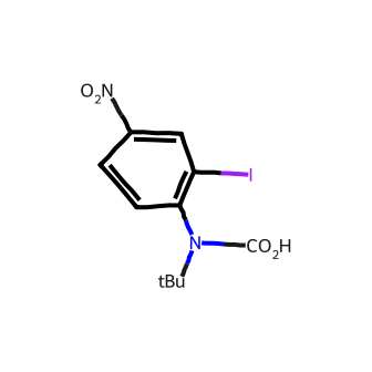 CC(C)(C)N(C(=O)O)c1ccc([N+](=O)[O-])cc1I